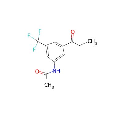 CCC(=O)c1cc(NC(C)=O)cc(C(F)(F)F)c1